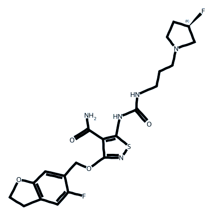 NC(=O)c1c(OCc2cc3c(cc2F)CCO3)nsc1NC(=O)NCCCN1CC[C@@H](F)C1